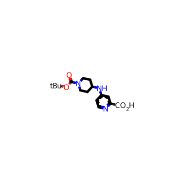 CC(C)(C)OC(=O)N1CCC(Nc2ccnc(C(=O)O)c2)CC1